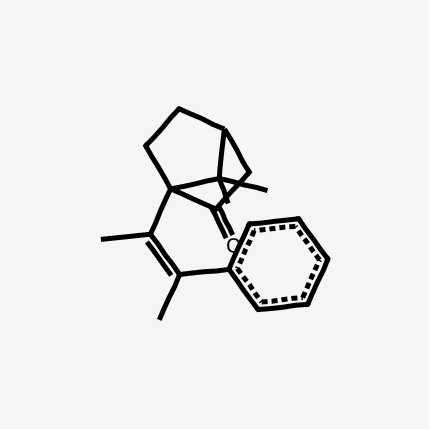 CC(=C(C)C12CCC(CC1=O)C2(C)C)c1ccccc1